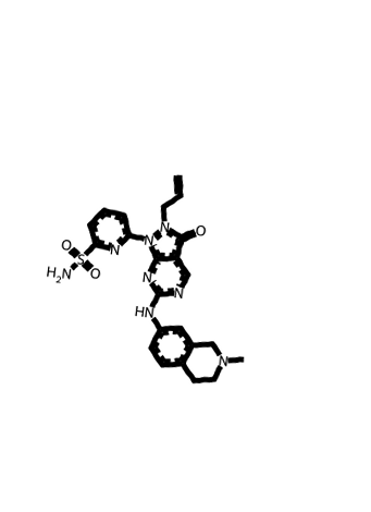 C=CCn1c(=O)c2cnc(Nc3ccc4c(c3)CN(C)CC4)nc2n1-c1cccc(S(N)(=O)=O)n1